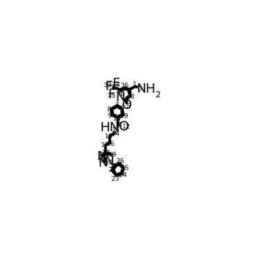 NCc1cc(Oc2cccc(C(=O)NCCCCc3cn(-c4ccccc4)nn3)c2)nc(C(F)(F)F)c1